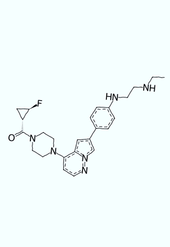 CCNCCNc1ccc(-c2cc3c(N4CCN(C(=O)[C@@H]5C[C@H]5F)CC4)ccnn3c2)cc1